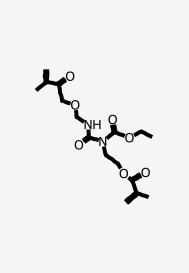 C=C(C)C(=O)COCNC(=O)N(CCOC(=O)C(=C)C)C(=O)OCC